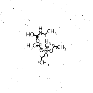 CCNC(=O)O.CCO[Si](C)(OCC)OCC